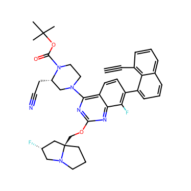 C#Cc1cccc2cccc(-c3ccc4c(N5CCN(C(=O)OC(C)(C)C)[C@@H](CC#N)C5)nc(OC[C@@]56CCCN5C[C@H](F)C6)nc4c3F)c12